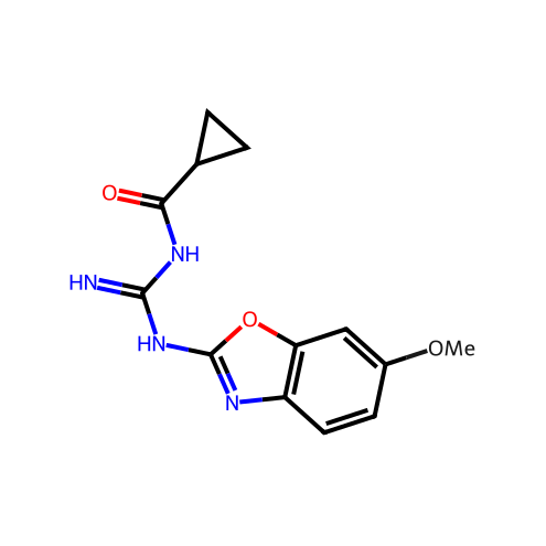 COc1ccc2nc(NC(=N)NC(=O)C3CC3)oc2c1